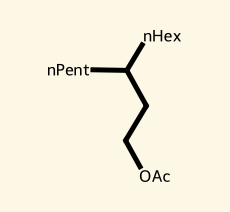 CCCCCCC(CCCCC)CCOC(C)=O